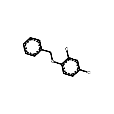 Clc1ccc(OCc2[c]cccc2)c(Cl)c1